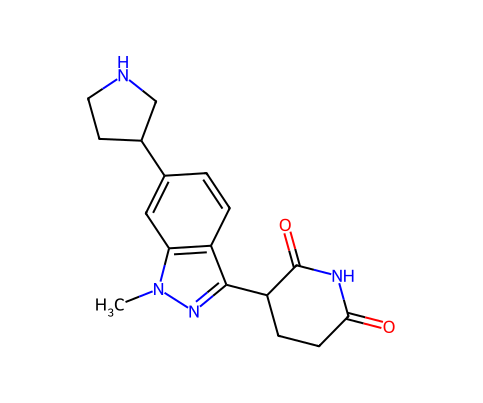 Cn1nc(C2CCC(=O)NC2=O)c2ccc(C3CCNC3)cc21